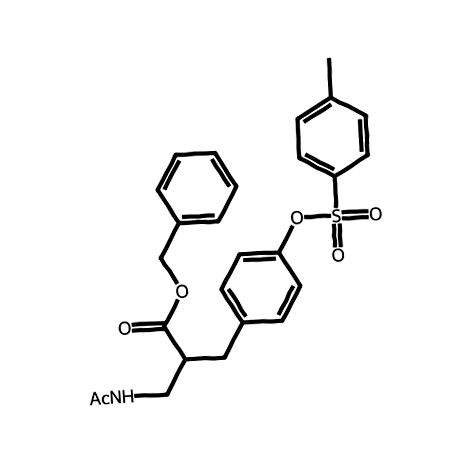 CC(=O)NCC(Cc1ccc(OS(=O)(=O)c2ccc(C)cc2)cc1)C(=O)OCc1ccccc1